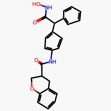 O=C(Nc1ccc(C(C(=O)NO)c2ccccc2)cc1)C1COc2ccccc2C1